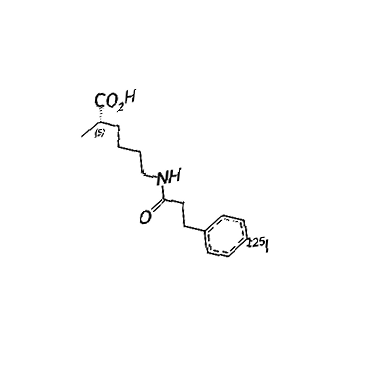 C[C@@H](CCCCNC(=O)CCc1ccc([125I])cc1)C(=O)O